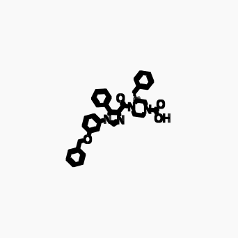 O=C(O)N1CCN(C(=O)c2ncn(-c3cccc(OCc4ccccc4)c3)c2-c2ccccc2)[C@H](Cc2ccccc2)C1